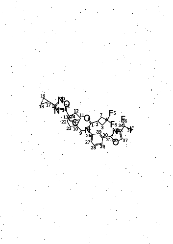 O=C(C1CC(F)(F)C1)N(CC12CCC(c3nc(C4CC4)no3)(CC1)CC2)c1cccc(-c2nc(C(F)F)co2)c1